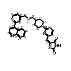 O=C1NC(=O)/C(=C\c2ccnc(N3CCC(CNCc4ccnc(-c5ccnc6ccccc56)c4)CC3)n2)S1